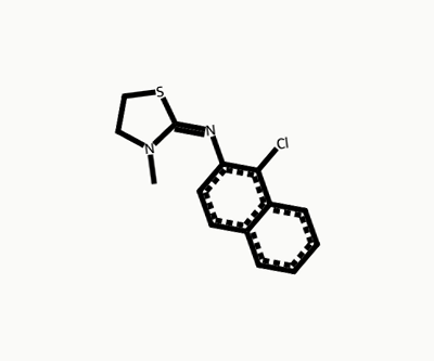 CN1CCSC1=Nc1ccc2ccccc2c1Cl